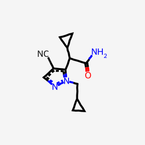 N#Cc1cnn(CC2CC2)c1C(C(N)=O)C1CC1